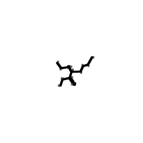 CCCCC(OCC)C(=O)CC